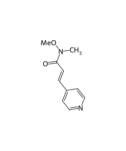 CON(C)C(=O)C=Cc1ccncc1